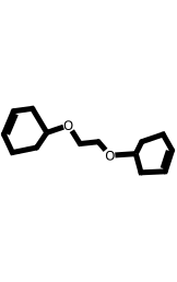 C1=CCC(OCCOC2CC=CCC2)CC1